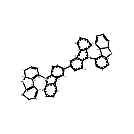 C1=CC2Sc3cccc(-n4c5ccccc5c5cc(-c6ccc7c(c6)c6ccccc6n7C6=C7C8=C(CCC=C8)SC7CC=C6)ccc54)c3C2C=C1